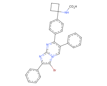 O=C(O)NC1(c2ccc(-c3nc4nc(-c5ccccc5)c(Br)n4cc3-c3ccccc3)cc2)CCC1